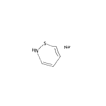 C1=CNSC=C1.[Na]